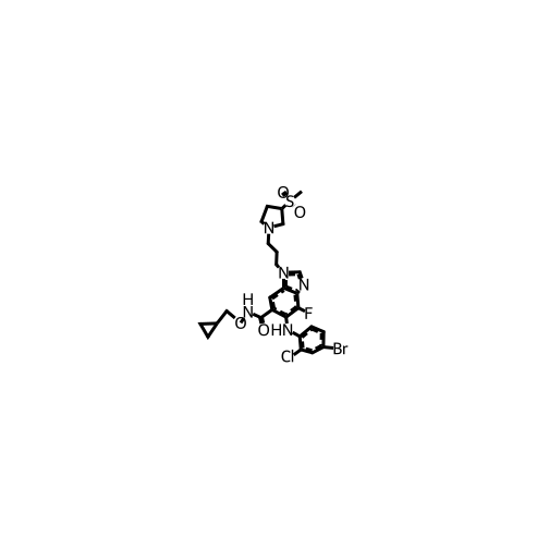 CS(=O)(=O)C1CCN(CCCn2cnc3c(F)c(Nc4ccc(Br)cc4Cl)c(C(=O)NOCC4CC4)cc32)C1